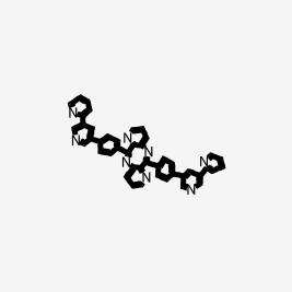 c1ccc(-c2cncc(-c3ccc(/C4=N/c5cccnc5/C(c5ccc(-c6cncc(-c7ccccn7)c6)cc5)=N\c5cccnc54)cc3)c2)nc1